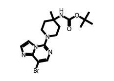 CC1(NC(=O)OC(C)(C)C)CCN(c2ncc(Br)c3nccn23)CC1